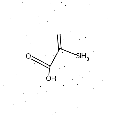 [CH]=C([SiH3])C(=O)O